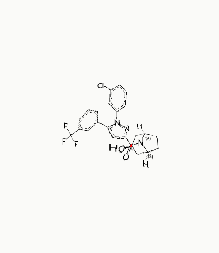 O=C(c1cc(-c2cccc(C(F)(F)F)c2)n(-c2cccc(Cl)c2)n1)N1[C@@H]2CC[C@H]1C[C@@H](O)C2